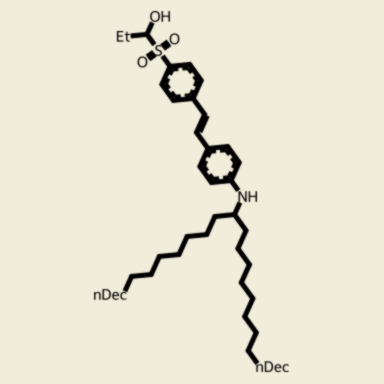 CCCCCCCCCCCCCCCCCCC(CCCCCCCCCCCCCCCCC)Nc1ccc(C=Cc2ccc(S(=O)(=O)C(O)CC)cc2)cc1